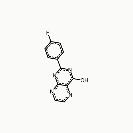 Oc1nc(-c2ccc(F)cc2)nc2nccnc12